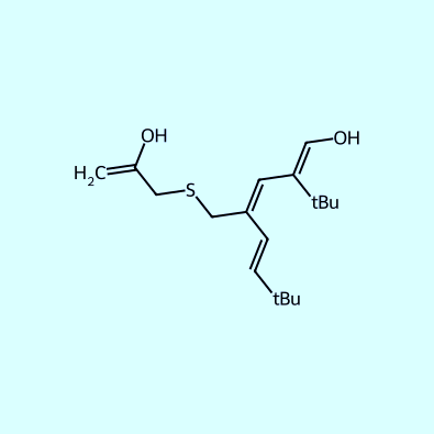 C=C(O)CSCC(/C=C/C(C)(C)C)=C/C(=C/O)C(C)(C)C